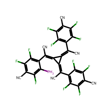 N#CC(=C1C(=C(/C#N)c2c(F)c(F)c(C#N)c(F)c2F)/C1=C(/C#N)c1c(F)c(F)c(C#N)c(F)c1P)c1c(F)c(F)c(C#N)c(F)c1F